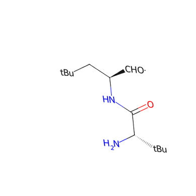 CC(C)(C)C[C@@H]([C]=O)NC(=O)[C@@H](N)C(C)(C)C